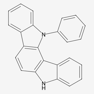 c1ccc(-n2c3ccccc3c3ccc4[nH]c5ccccc5c4c32)cc1